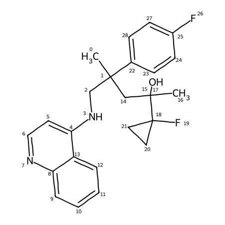 CC(CNc1ccnc2ccccc12)(CC(C)(O)C1(F)CC1)c1ccc(F)cc1